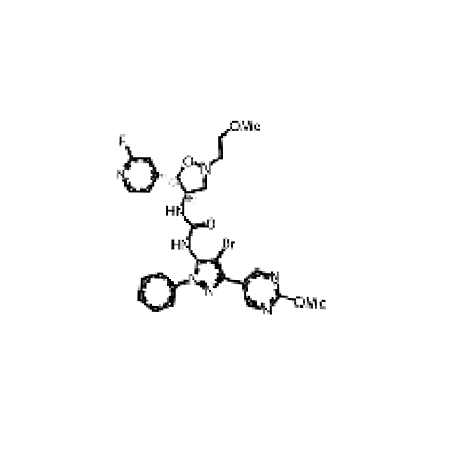 COCCN1C[C@@H](NC(=O)Nc2c(Br)c(-c3cnc(OC)nc3)nn2-c2ccccc2)[C@H](c2ccnc(F)c2)O1